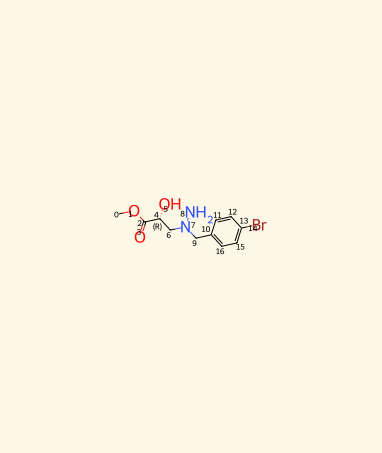 COC(=O)[C@H](O)CN(N)Cc1ccc(Br)cc1